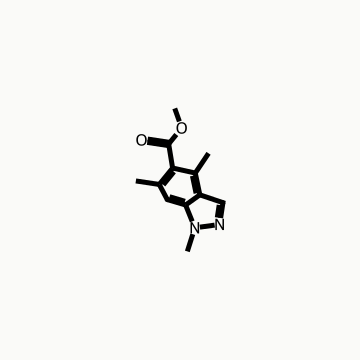 COC(=O)c1c(C)cc2c(cnn2C)c1C